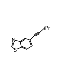 CC(C)C#Cc1ccc2scnc2c1